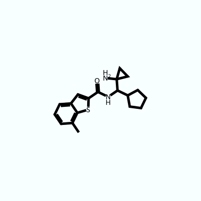 Cc1cccc2cc(C(=O)NC(C3CCCC3)C3(N)CC3)sc12